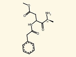 COC(=O)CC(NC(=O)Cc1ccccc1)C(=O)[C@H](C)N